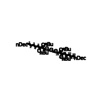 CCCCCCCCCCCCCCCC(OCCCC)=C(COCOCOCC(OCCCC)=C(CCCCCCCCCCCCCCC)OCCCC)OCCCC